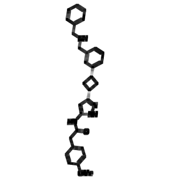 COc1ccc(CC(=O)Nc2cc([C@H]3C[C@@H](c4cccc(CNCc5ccccc5)c4)C3)n[nH]2)cc1